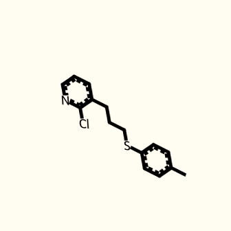 Cc1ccc(SCCCc2cccnc2Cl)cc1